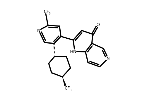 O=c1cc(-c2cc(C(F)(F)F)ncc2[C@H]2CC[C@H](C(F)(F)F)CC2)[nH]c2ccncc12